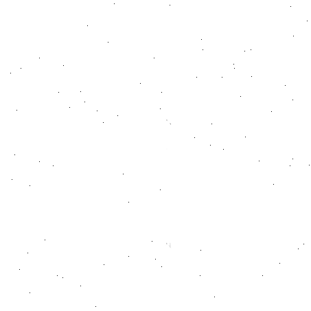 FC(c1ccc(-c2cnc3ccccc3c2)cc1)C1CCNCC1